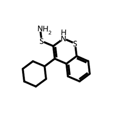 NSC1=C(C2CCCCC2)c2ccccc2SN1